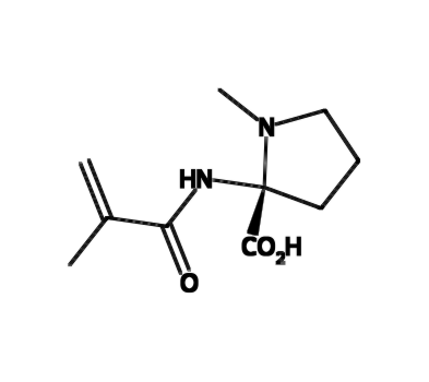 C=C(C)C(=O)N[C@@]1(C(=O)O)CCCN1C